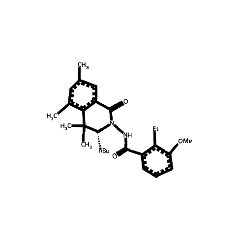 CCCC[C@H]1N(NC(=O)c2cccc(OC)c2CC)C(=O)c2cc(C)cc(C)c2C1(C)C